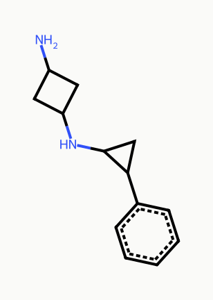 NC1CC(NC2CC2c2ccccc2)C1